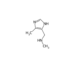 CNCc1[nH]cnc1C